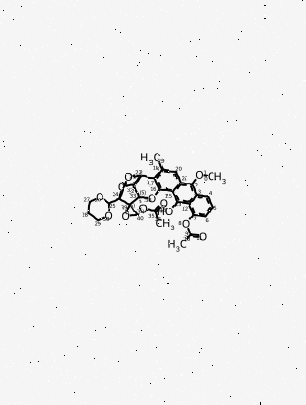 COc1c2cccc(OC(C)=O)c2c(O)c2c3c(c(C)cc12)C1OC2(C4OCCCO4)OC1[C@@](OC(C)=O)(O3)[C@@]21CO1